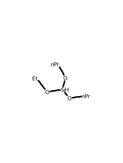 CCCO[SiH](OCC)OCCC